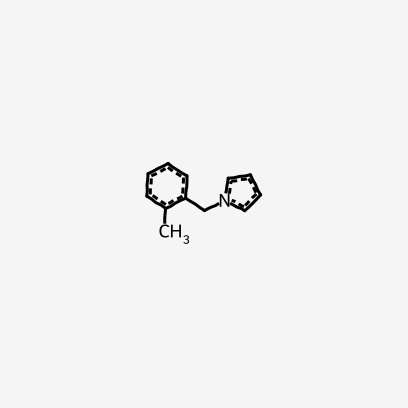 Cc1ccccc1Cn1cccc1